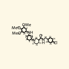 COc1cc(Nc2nccc(N3CCCC(C(=O)NCc4ccc(Cl)cc4)C3)n2)cc(OC)c1OC